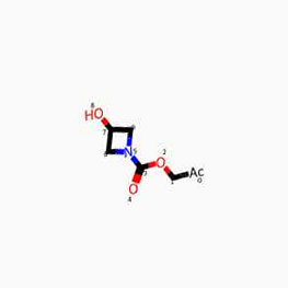 CC(=O)COC(=O)N1CC(O)C1